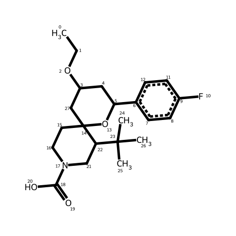 CCOC1CC(c2ccc(F)cc2)OC2(CCN(C(=O)O)CC2C(C)(C)C)C1